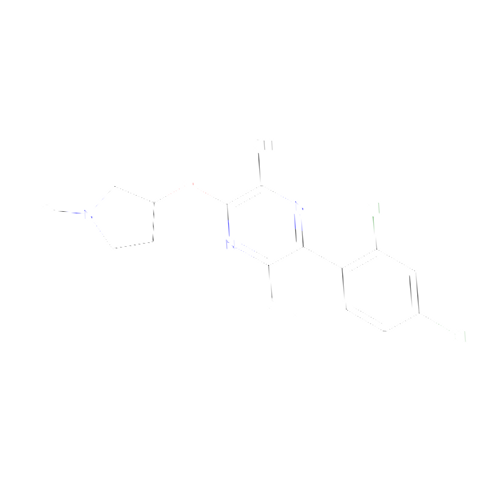 Cc1nc(-c2ccc(Cl)cc2Cl)c(C)nc1OC1CCN(C)C1